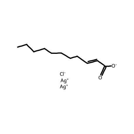 CCCCCCCCC=CC(=O)[O-].[Ag+].[Ag+].[Cl-]